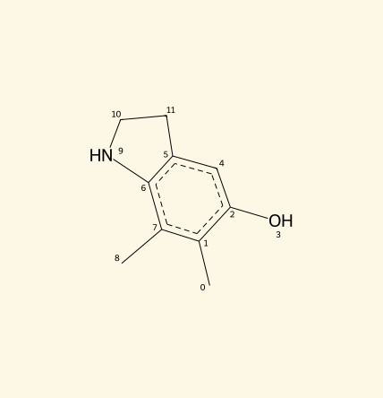 Cc1c(O)cc2c(c1C)NCC2